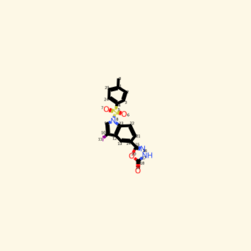 Cc1ccc(S(=O)(=O)n2cc(I)c3cc(-c4n[nH]c(=O)o4)ccc32)cc1